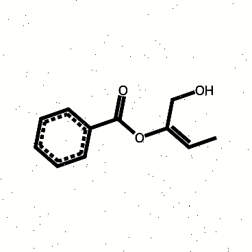 CC=C(CO)OC(=O)c1ccccc1